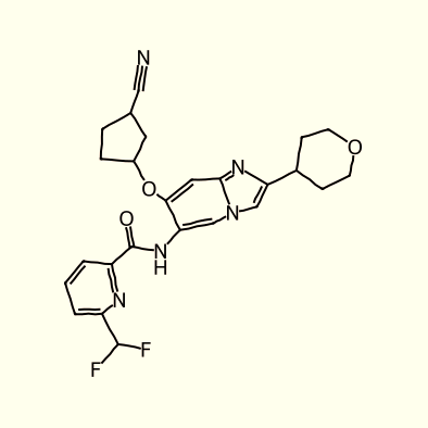 N#CC1CCC(Oc2cc3nc(C4CCOCC4)cn3cc2NC(=O)c2cccc(C(F)F)n2)C1